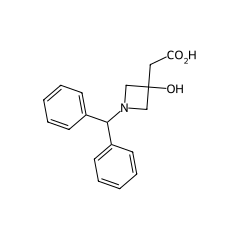 O=C(O)CC1(O)CN(C(c2ccccc2)c2ccccc2)C1